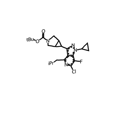 CC(C)Cc1nc(Cl)c(F)c2c1c(C1C3CN(C(=O)OC(C)(C)C)CC31)nn2C1CC1